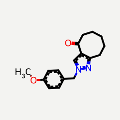 COc1ccc(Cn2cc3c(n2)CCCCCC3=O)cc1